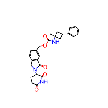 C[C@]1(NC(=O)OCc2ccc3c(c2)C(=O)N(C2CCC(=O)NC2=O)C3)C[C@@H](c2ccccc2)C1